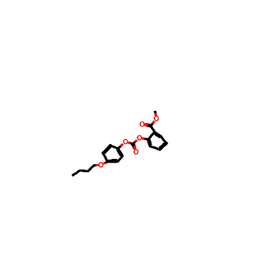 CCCCOc1ccc(OC(=O)Oc2ccccc2C(=O)OC)cc1